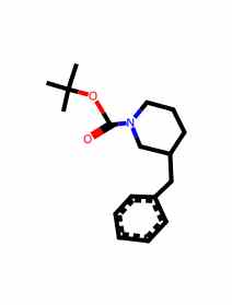 CC(C)(C)OC(=O)N1CCCC(Cc2ccccc2)C1